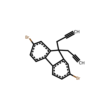 C#CCC1(CC#C)c2cc(Br)ccc2-c2ccc(Br)cc21